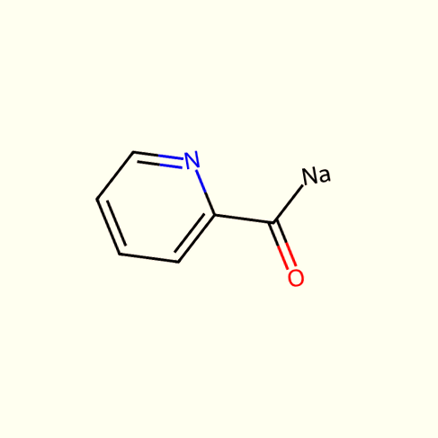 O=[C]([Na])c1ccccn1